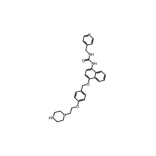 O=C(NCc1ccncc1)Nc1ccc(OCc2ccc(OCCN3CCNCC3)cc2)c2ccccc12